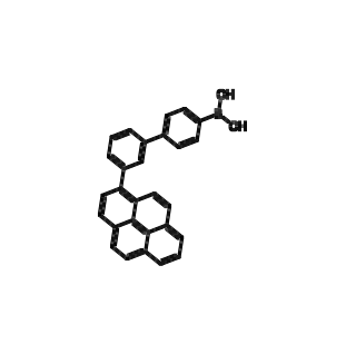 OB(O)c1ccc(-c2cccc(-c3ccc4ccc5cccc6ccc3c4c56)c2)cc1